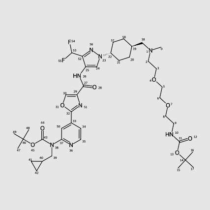 CN(CCOCCOCCNC(=O)OC(C)(C)C)C[C@H]1CC[C@H](n2cc(NC(=O)c3coc(-c4ccnc(N(CC5CC5)C(=O)OC(C)(C)C)c4)n3)c(C(F)F)n2)CC1